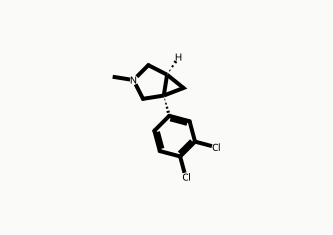 CN1C[C@H]2C[C@@]2(c2ccc(Cl)c(Cl)c2)C1